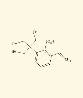 C=Cc1cccc([Si](CC(C)C)(CC(C)C)CC(C)C)c1S(=O)(=O)O